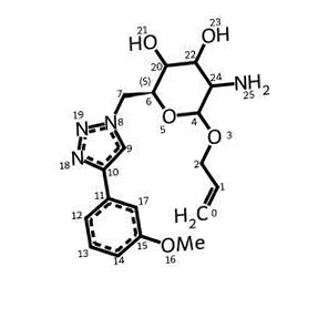 C=CCOC1O[C@@H](Cn2cc(-c3cccc(OC)c3)nn2)C(O)C(O)C1N